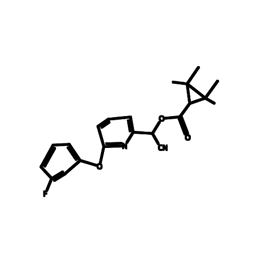 CC1(C)C(C(=O)OC(C#N)c2cccc(Oc3cccc(F)c3)n2)C1(C)C